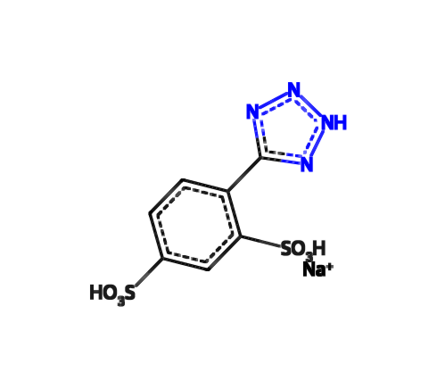 O=S(=O)(O)c1ccc(-c2nn[nH]n2)c(S(=O)(=O)O)c1.[Na+]